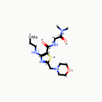 COCCNc1nc(CN2CCOCC2)sc1C(=O)NCC(=O)N(C)C